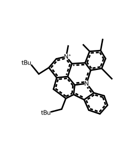 Cc1cc(C)c2c(c1C)c1c3c(cc(CC(C)(C)C)c4c5ccccc5n2c43)c(CC(C)(C)C)c[n+]1C